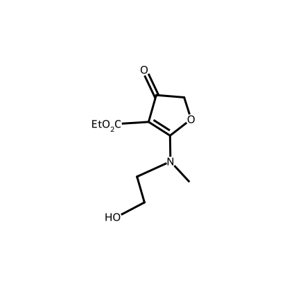 CCOC(=O)C1=C(N(C)CCO)OCC1=O